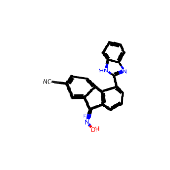 N#Cc1ccc2c(c1)/C(=N/O)c1cccc(-c3nc4ccccc4[nH]3)c1-2